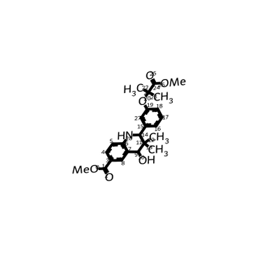 COC(=O)c1ccc2c(c1)C(O)C(C)(C)C(c1cccc(OC(C)(C)C(=O)OC)c1)N2